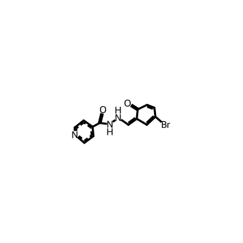 O=C1C=CC(Br)=CC1=CNNC(=O)c1ccncc1